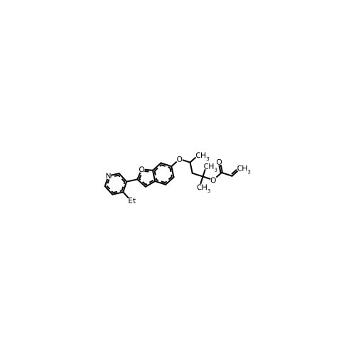 C=CC(=O)OC(C)(C)CC(C)Oc1ccc2cc(-c3cnccc3CC)oc2c1